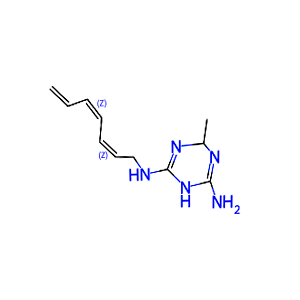 C=C/C=C\C=C/CNC1=NC(C)N=C(N)N1